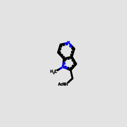 CC(=O)NCc1cc2cnccc2n1C